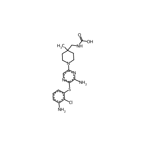 CC1(CNC(=O)O)CCN(c2cnc(Sc3cccc(N)c3Cl)c(N)n2)CC1